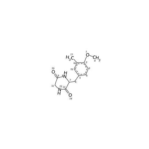 COc1ccc(CC2NC(=O)CNC2=O)cc1C